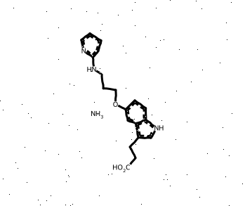 N.O=C(O)CCc1c[nH]c2ccc(OCCCNc3ccccn3)cc12